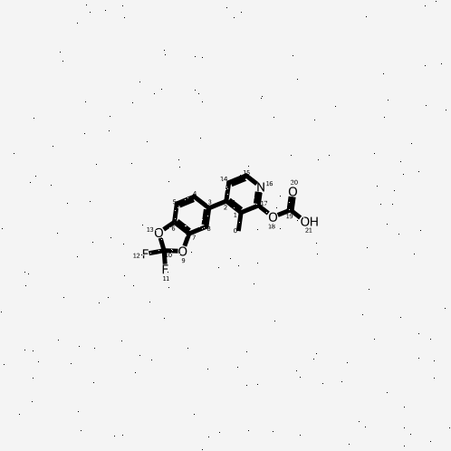 Cc1c(-c2ccc3c(c2)OC(F)(F)O3)ccnc1OC(=O)O